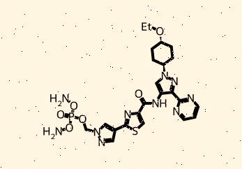 CCO[C@H]1CC[C@H](n2cc(NC(=O)c3csc(-c4cnn(COP(=O)(ON)ON)c4)n3)c(-c3ncccn3)n2)CC1